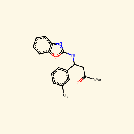 CNC(=O)CC(Nc1nc2ccccc2o1)c1cccc(C(F)(F)F)c1